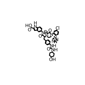 O=C(Nc1ccc(CC(C(=O)Nc2ccc3[nH]c(C(=O)O)cc3c2)N2CCN(c3cc(Cl)ccc3-n3cnnn3)C(=O)C2=O)cc1)NC1CCC(O)CC1